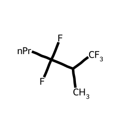 CCCC(F)(F)C(C)C(F)(F)F